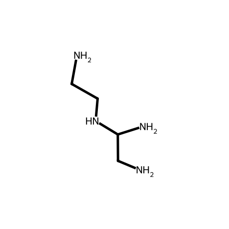 NCCNC(N)CN